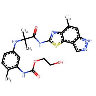 Cc1ccc(NC(C)(C)C(=O)Nc2nc3c(C(F)(F)F)cc4[nH]ncc4c3s2)cc1NC(=O)OCCO